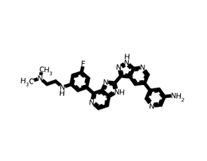 CN(C)CCNc1cc(F)cc(-c2nccc3[nH]c(-c4n[nH]c5ncc(-c6cncc(N)c6)cc45)nc23)c1